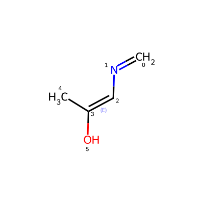 C=N/C=C(\C)O